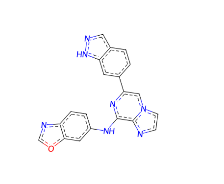 c1cn2cc(-c3ccc4cn[nH]c4c3)nc(Nc3ccc4ncoc4c3)c2n1